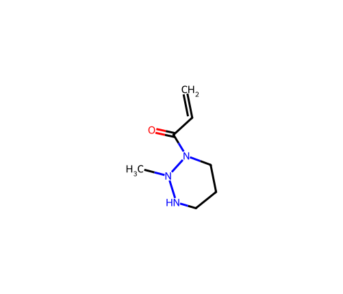 C=CC(=O)N1CCCNN1C